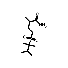 CC(CCS(=O)(=O)C(C)(C)C(C)C)C(N)=O